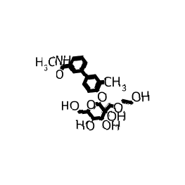 CNC(=O)c1cccc(-c2ccc(O[C@H]3OC(CO)[C@@H](O)C(O)[C@@]3(O)COCCO)c(C)c2)c1